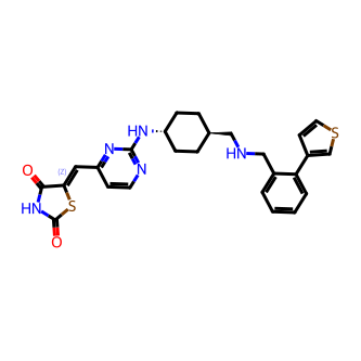 O=C1NC(=O)/C(=C/c2ccnc(N[C@H]3CC[C@H](CNCc4ccccc4-c4ccsc4)CC3)n2)S1